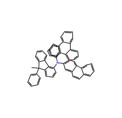 CC1(c2ccccc2)c2ccccc2-c2c(N(c3ccc4c(ccc5ccccc54)c3)c3ccccc3-c3ccccc3-c3ccccc3-c3ccccc3)cccc21